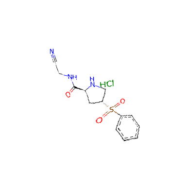 Cl.N#CCNC(=O)[C@@H]1C[C@@H](S(=O)(=O)c2ccccc2)CN1